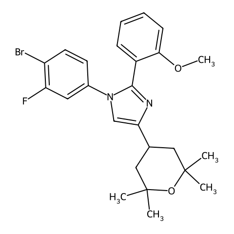 COc1ccccc1-c1nc(C2CC(C)(C)OC(C)(C)C2)cn1-c1ccc(Br)c(F)c1